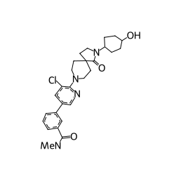 CNC(=O)c1cccc(-c2cnc(N3CCC4(CC3)CCN(C3CCC(O)CC3)C4=O)c(Cl)c2)c1